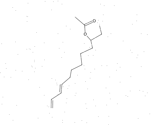 C=CC=CCCCCCC(CC)OC(C)=O